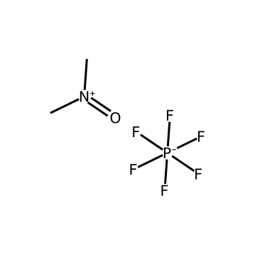 C[N+](C)=O.F[P-](F)(F)(F)(F)F